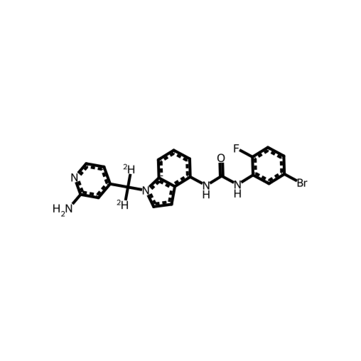 [2H]C([2H])(c1ccnc(N)c1)n1ccc2c(NC(=O)Nc3cc(Br)ccc3F)cccc21